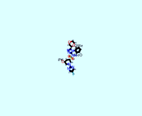 COc1cccc(OC)c1-n1c(NS(=O)(=O)[C@H]2C[C@@H](OC(C)C)CN(c3ncc(F)cn3)C2)nnc1[C@H]1COCCO1